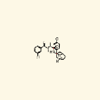 CC(NC(=O)c1cccc(Cl)c1)C(=O)NC1CC2CC[C@H](C1)N2Cc1ccc(Cl)cc1